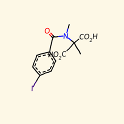 CN(C(=O)c1ccc(I)cc1)C(C)(C(=O)O)C(=O)O